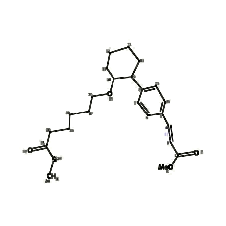 COC(=O)/C=C/c1ccc(C2CCCCC2OCCCCCC(=O)[Si]C)cc1